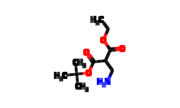 CCOC(=O)C(CN)C(=O)OC(C)(C)C